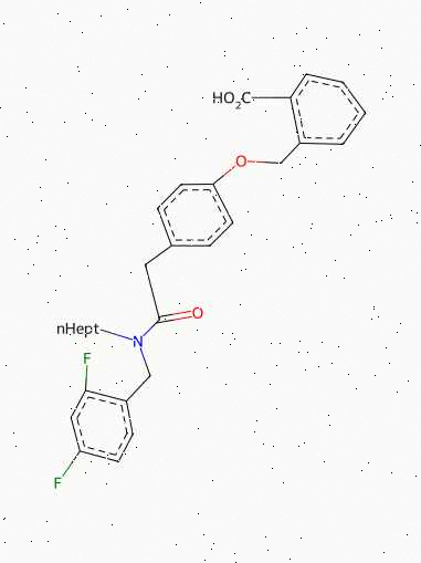 CCCCCCCN(Cc1ccc(F)cc1F)C(=O)Cc1ccc(OCc2ccccc2C(=O)O)cc1